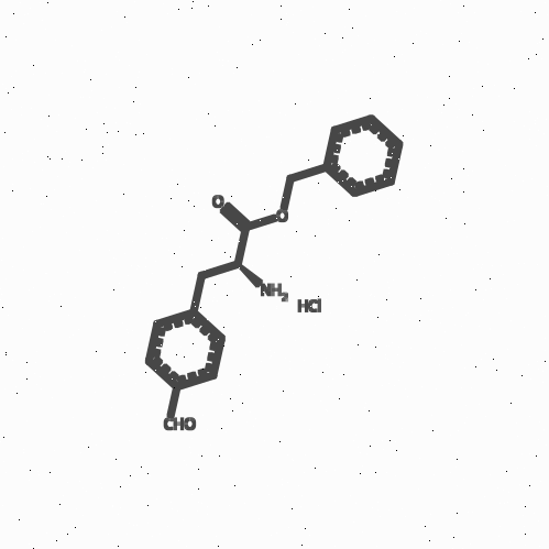 Cl.N[C@@H](Cc1ccc(C=O)cc1)C(=O)OCc1ccccc1